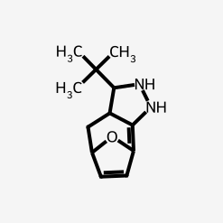 CC(C)(C)C1NNC2=C3C=CC(CC21)O3